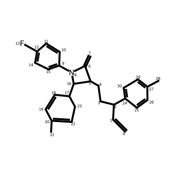 C=CC(CCC1C(=C)N(c2ccc(F)cc2)C1C1C=CC(C)=CC1)c1ccc(C)cc1